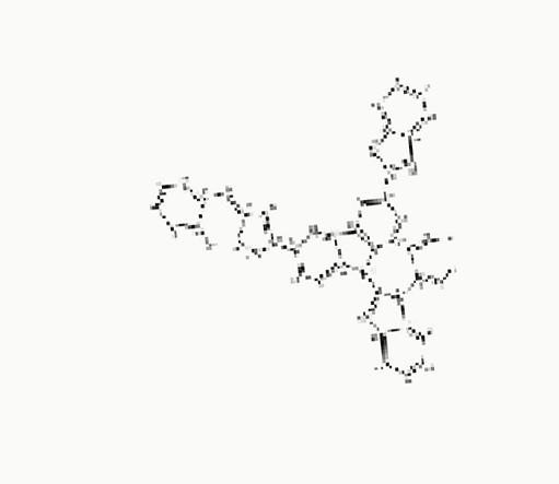 c1ccc(-n2c(-n3c4ccc(-c5nc6ccccc6o5)cc4c4cc(-c5nc6cc7ccccc7cc6s5)ccc43)nc3ccccc32)cc1